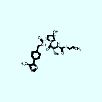 C=CCOC(=O)N[C@H](C(=O)N1C[C@H](O)C[C@H]1C(=O)NCc1ccc(-c2scnc2C)cc1)C(C)(C)C